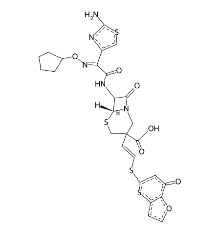 Nc1nc(C(=NOC2CCCC2)C(=O)NC2C(=O)N3CC(C=CSc4cc(=O)c5occc5s4)(C(=O)O)CS[C@H]23)cs1